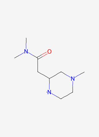 CN1CC[N]C(CC(=O)N(C)C)C1